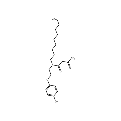 CCCCCCCCCCCCCCCCCCN(CCOc1ccc(O)cc1)C(=O)CC(N)=O